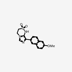 COc1ccc2cc(-c3ncn4c3NS(=O)(=O)CC4)ccc2c1